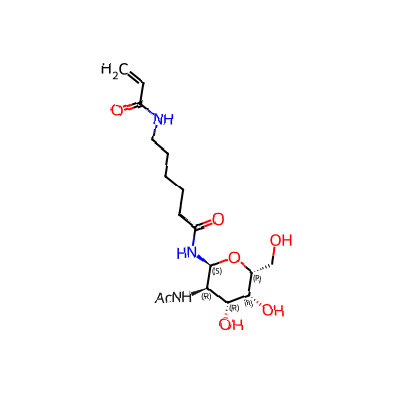 C=CC(=O)NCCCCCC(=O)N[C@H]1O[C@H](CO)[C@H](O)[C@H](O)[C@H]1NC(C)=O